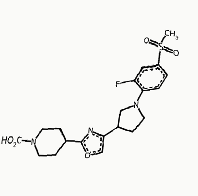 CS(=O)(=O)c1ccc(N2CCC(c3coc(C4CCN(C(=O)O)CC4)n3)C2)c(F)c1